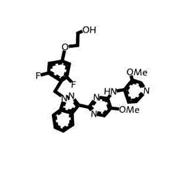 COc1cnccc1Nc1nc(-c2nn(Cc3c(F)cc(OCCO)cc3F)c3ccccc23)ncc1OC